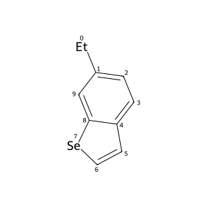 CCc1ccc2cc[se]c2c1